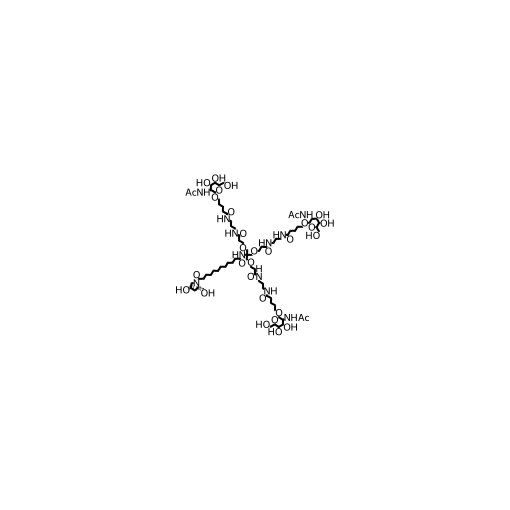 CC(=O)NC1C(OCCCCC(=O)NCCCNC(=O)CCOCC(COCCC(=O)NCCCNC(=O)CCCCOC2OC(CO)C(O)C(O)C2NC(C)=O)(COCCC(=O)NCCCNC(=O)CCCCOC2OC(CO)C(O)C(O)C2NC(C)=O)NC(=O)CCCCCCCCCCC(=O)N2C[C@H](O)C[C@H]2CO)OC(CO)C(O)C1O